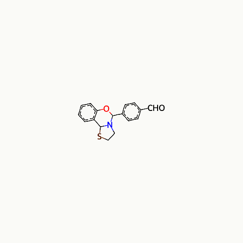 O=Cc1ccc(C2Oc3ccccc3C3SCCN23)cc1